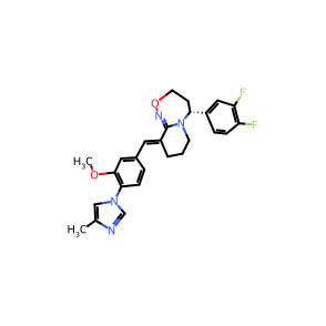 COc1cc(/C=C2\CCCN3C2=NOCC[C@@H]3c2ccc(F)c(F)c2)ccc1-n1cnc(C)c1